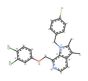 Cc1c(C)n(Cc2ccc(F)cc2)c2c(COc3ccc(Cl)c(Cl)c3)nccc12